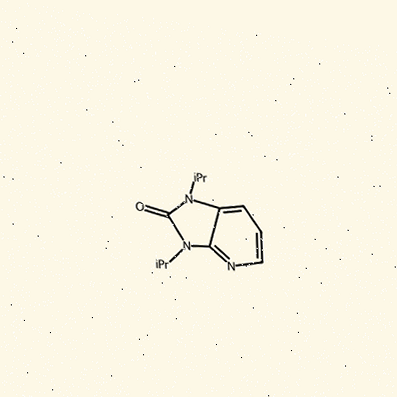 CC(C)n1c(=O)n(C(C)C)c2ncccc21